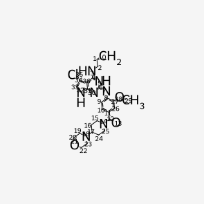 C=CCNc1nc(Nc2ccc(C(=O)N3CCC(N4CCOCC4)CC3)cc2OC)nc2[nH]cc(Cl)c12